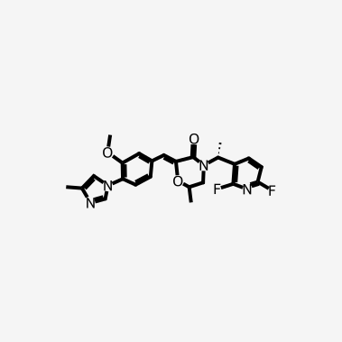 COc1cc(C=C2OC(C)CN([C@H](C)c3ccc(F)nc3F)C2=O)ccc1-n1cnc(C)c1